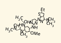 C=CC(O)Nc1cc(Nc2nccc(-n3nc(N(C)C)c4cc(CC)sc43)n2)c(OC)cc1N(C)CCN(C)C